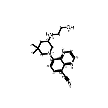 CC1(C)CC(NCCO)CN(c2ccc(C#N)c3nccnc23)C1